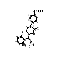 CCOC(=O)c1ccc(N2CCN(C(=NO)c3c(F)cccc3C(F)(F)F)CC2=O)nc1